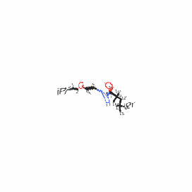 CC(C)CCOCCNC(=O)C(C)(C)CC(C)(C)C(C)C